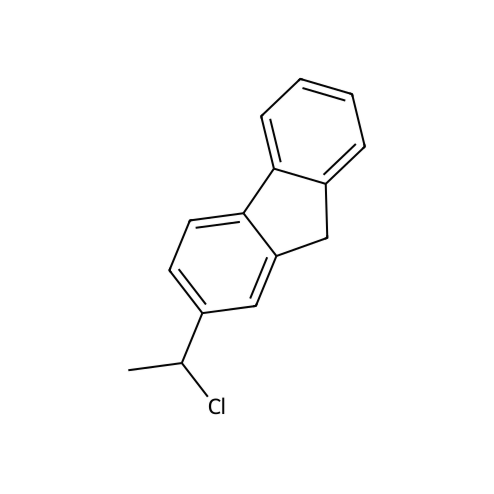 CC(Cl)c1ccc2c(c1)Cc1ccccc1-2